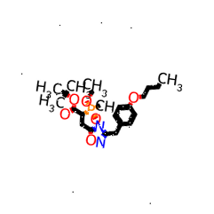 CCCCOc1ccc(Cc2noc(CC(C(=O)OC(C)(C)C)P(C)(=O)OCC)n2)cc1